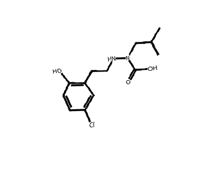 CC(C)CN(NCCc1cc(Cl)ccc1O)C(=O)O